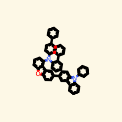 c1ccc(-c2ccc(N(c3ccccc3-c3ccccc3)c3cccc4oc5ccc(-c6ccc7c(c6)c6ccccc6n7-c6ccccc6)cc5c34)cc2)cc1